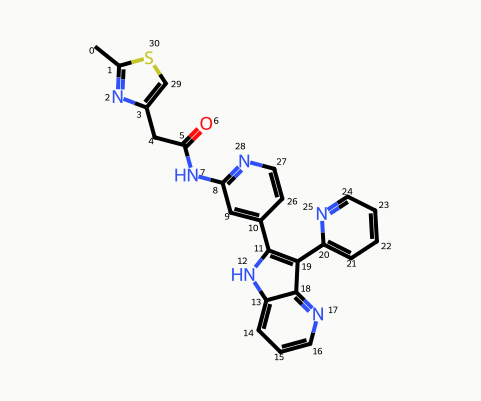 Cc1nc(CC(=O)Nc2cc(-c3[nH]c4cccnc4c3-c3ccccn3)ccn2)cs1